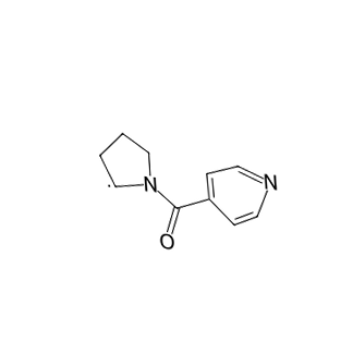 O=C(c1ccncc1)N1[CH]CCC1